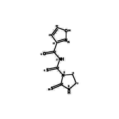 O=C(NC(=S)N1CCNC1=S)c1ccon1